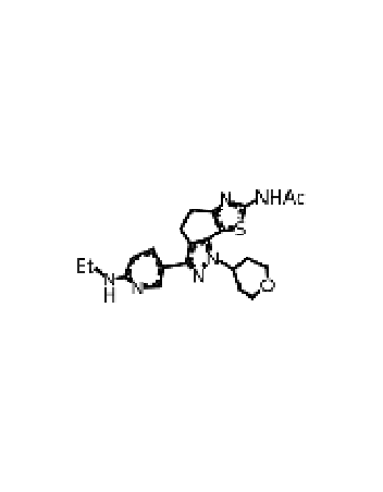 CCNc1ccc(-c2nn(C3CCOCC3)c3c2CCc2nc(NC(C)=O)sc2-3)cn1